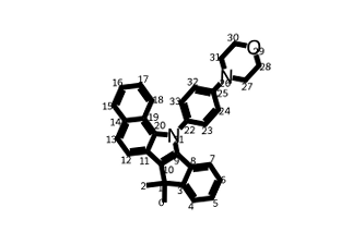 CC1(C)c2ccccc2-c2c1c1ccc3ccccc3c1n2-c1ccc(N2CCOCC2)cc1